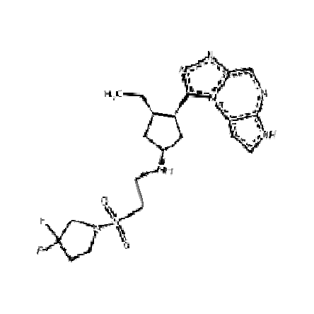 CC[C@@H]1C[C@H](NCCS(=O)(=O)N2CCC(F)(F)C2)C[C@@H]1c1nnc2cnc3[nH]ccc3n12